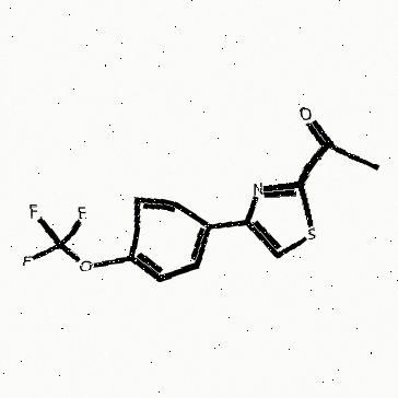 CC(=O)c1nc(-c2ccc(OC(F)(F)F)cc2)cs1